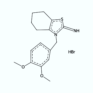 Br.COc1ccc(Cn2c3c(sc2=N)CCCC3)cc1OC